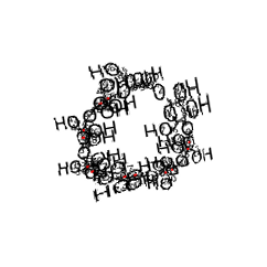 CC1OC2OC(CO)C(OC3OC(CO)C(OC4OC(CO)C(OC5OC(CO)C(OC6OC(CO)C(OC7OC(CO)C(OC8OC(CO)C(OC(OCCO)C(O)C1O)C(O)C8O)C(O)C7O)C(O)C6O)C(O)C5O)C(O)C4O)C(O)C3O)C(O)C2O